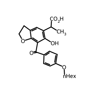 CCCCCCOc1ccc(C(=O)c2c(O)c(C(C)C(=O)O)cc3c2OCC3)cc1